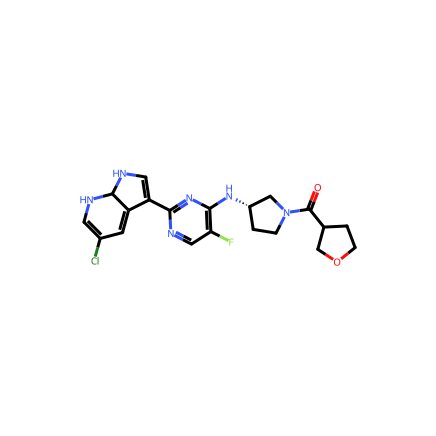 O=C(C1CCOC1)N1CC[C@H](Nc2nc(C3=CNC4NC=C(Cl)C=C34)ncc2F)C1